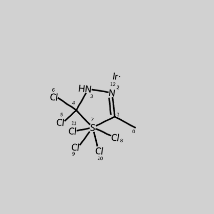 CC1=NNC(Cl)(Cl)S1(Cl)(Cl)(Cl)Cl.[Ir]